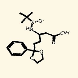 CC(C)(C)[S+]([O-])NC(CCC1(c2ccccc2)OCCO1)CC(=O)O